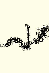 CCOCCOCCOCCOCCC(=O)N[C@H](CCCCNC(=O)COC1CCCCCc2c1nnn2[C@H]1O[C@H](CO)[C@@H](O[C@H]2O[C@H](CO)[C@@H](O)[C@H](O)[C@H]2O)[C@H](O)[C@H]1O)C(=O)N[C@H](C(=O)N[C@@H](C)C(=O)Nc1ccc2c(c1)[C@@]1(C)CCC[C@](C)(C(=O)NC(=O)[C@@]3(C)CCC[C@]4(C)c5cc(N)ccc5CC[C@@H]34)[C@@H]1CC2)C(C)C